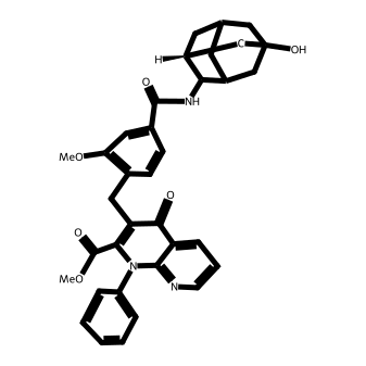 COC(=O)c1c(Cc2ccc(C(=O)NC3C4CC5C[C@@H]3CC(O)(C5)C4)cc2OC)c(=O)c2cccnc2n1-c1ccccc1